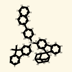 CC1(C)c2ccccc2-c2ccc(N(c3ccc(-c4ccc5ccccc5c4)cc3)c3ccc4c(c3)C3(c5ccccc5-4)C4CC5CC(C4)CC3C5)cc21